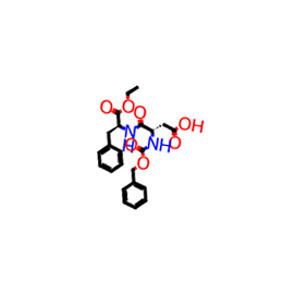 CCOC(=O)[C@H](Cc1ccccc1)NC(=O)[C@H](CC(=O)O)NC(=O)OCc1ccccc1